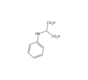 O=C(O)C(Nc1ccccc1)C(=O)O